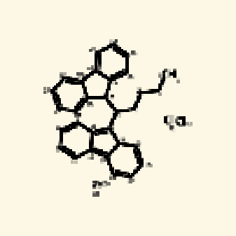 CCCCC(C1=c2ccccc2=C2C=CC=CC21)C1c2ccccc2-c2ccccc21.[Cl-].[Cl-].[Zr+2]